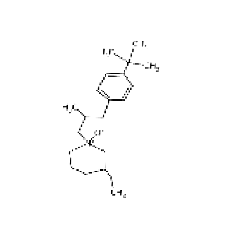 CCC1CCC[N+]([O-])(CC(C)Cc2ccc(C(C)(C)C)cc2)C1